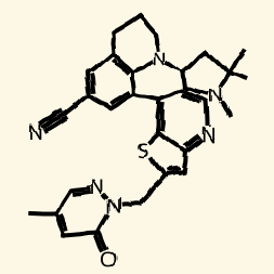 Cc1cnn(Cc2cc3nccc(-c4cc(C#N)cc5c4N([C@@H]4CN(C)C(C)(C)C4)CCC5)c3s2)c(=O)c1